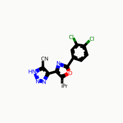 CC(C)c1oc(-c2ccc(Cl)c(Cl)c2)nc1-c1nn[nH]c1C#N